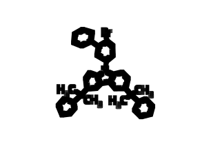 CC(C)(c1ccccc1)c1ccc2c(c1)c1cc(C(C)(C)c3ccccc3)ccc1n2-c1ccc(Br)c(-c2ccccc2)c1